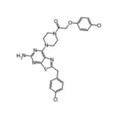 Nc1nc(N2CCN(C(=O)COc3ccc(Cl)cc3)CC2)c2nc(Cc3ccc(Cl)cc3)sc2n1